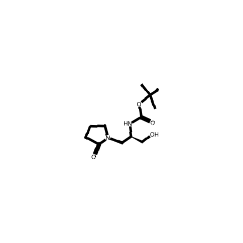 CC(C)(C)OC(=O)N[C@@H](CO)CN1CCCC1=O